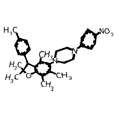 Cc1ccc(C2c3c(C)c(N4CCN(c5ccc([N+](=O)[O-])cc5)CC4)c(C)c(C)c3OC2(C)C)cc1